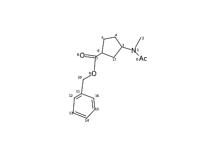 CC(=O)N(C)C1CCC(C(=O)OCc2ccccc2)C1